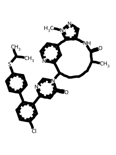 CC(C)Sc1ccc(-c2ccc(Cl)cc2-c2cc(=O)n(C3CCCC(C)C(=O)Nc4cnn(C)c4-c4ccnc3c4)cn2)cc1